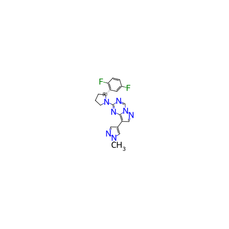 Cn1cc(-c2cnn3cnc(N4CCC[C@@H]4c4cc(F)ccc4F)nc23)cn1